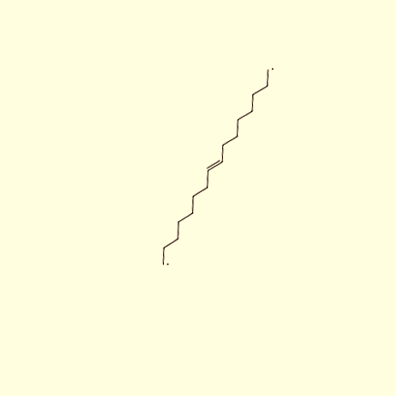 [CH2]CCCCCCC=CCCCCCC[CH2]